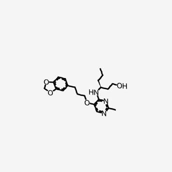 CCC[C@@H](CCO)Nc1nc(C)ncc1OCCCc1ccc2c(c1)OCO2